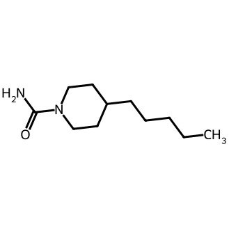 CCCCCC1CCN(C(N)=O)CC1